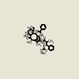 CC(=O)O[C@@]12CO[C@@H]1C[C@H](O)[C@@]1(C)C(=O)[C@H](O)C3=C(C)C(OC(=O)C(C)[C@@H](NC(=O)OC(C)(C)C)c4ccccc4)C[C@@](O)([C@@H](OC(=O)c4ccccc4)[C@H]21)C3(C)C